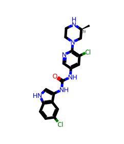 C[C@H]1CN(c2ncc(NC(=O)Nc3c[nH]c4ccc(Cl)cc34)cc2Cl)CCN1